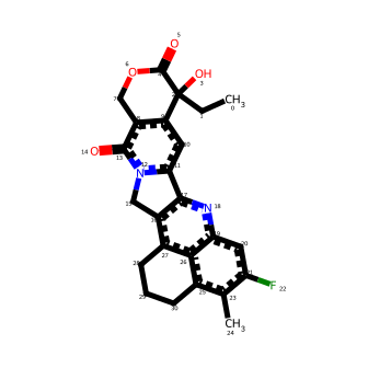 CCC1(O)C(=O)OCc2c1cc1n(c2=O)Cc2c-1nc1cc(F)c(C)c3c1c2CCC3